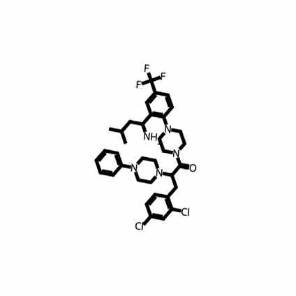 CC(C)CC(N)c1cc(C(F)(F)F)ccc1N1CCN(C(=O)C(Cc2ccc(Cl)cc2Cl)N2CCN(c3ccccc3)CC2)CC1